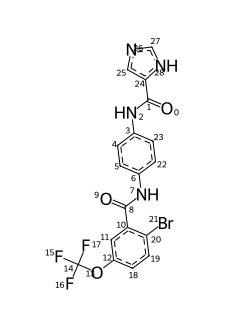 O=C(Nc1ccc(NC(=O)c2cc(OC(F)(F)F)ccc2Br)cc1)c1cnc[nH]1